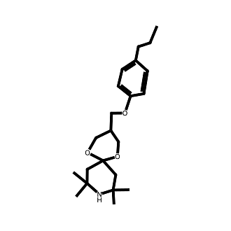 CCCc1ccc(OCC2COC3(CC(C)(C)NC(C)(C)C3)OC2)cc1